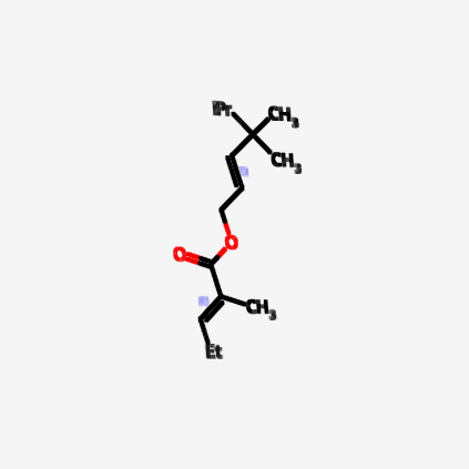 CC/C=C(\C)C(=O)OC/C=C/C(C)(C)C(C)C